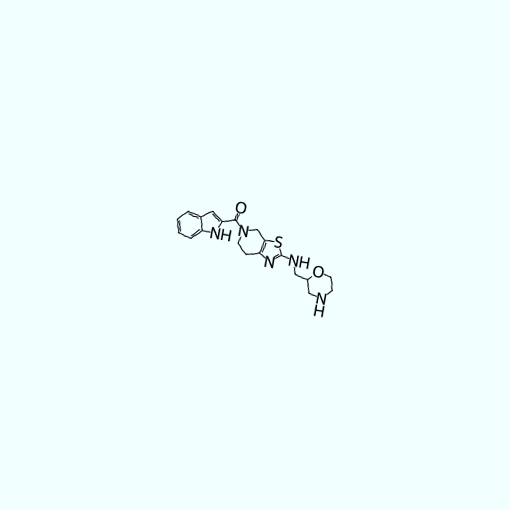 O=C(c1cc2ccccc2[nH]1)N1CCc2nc(NCC3CNCCO3)sc2C1